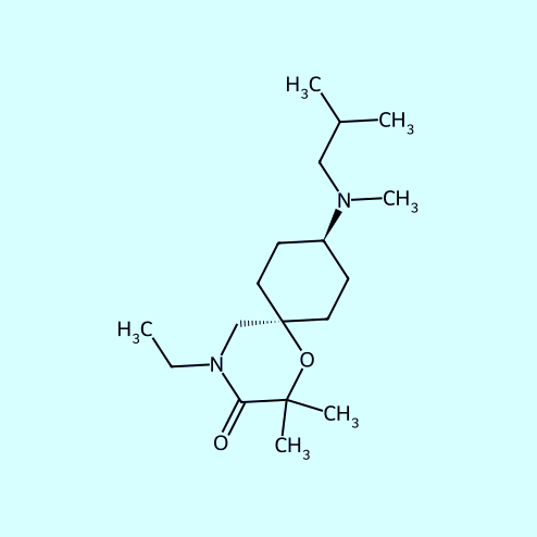 CCN1C[C@]2(CC[C@H](N(C)CC(C)C)CC2)OC(C)(C)C1=O